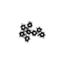 C[Si](c1ccccc1)(c1ccccc1)c1ccc(-c2cc3c4c(c2)N(c2ccccc2)c2ccccc2B4c2ccccc2N3c2ccccc2)cc1